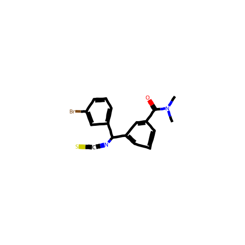 CN(C)C(=O)c1cccc(C(N=C=S)c2cccc(Br)c2)c1